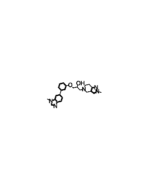 Cn1cc2c(n1)CCN(C[C@H](O)COc1cccc(-c3ccc4ncn(C)c4c3)c1)C2